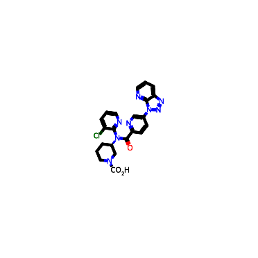 O=C(O)N1CCC[C@@H](N(C(=O)c2ccc(-n3nnc4cccnc43)cn2)c2ncccc2Cl)C1